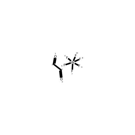 O=CC=O.[F][W]([F])([F])([F])([F])[F]